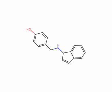 Oc1ccc(CNC2C=Cc3ccccc32)cc1